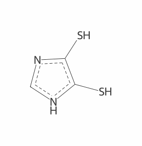 Sc1nc[nH]c1S